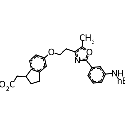 CCCCNc1cccc(-c2nc(CCOc3ccc4c(c3)CC[C@H]4CC(=O)O)c(C)o2)c1